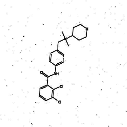 C[N+](C)(Cc1ccc(NC(=O)c2cccc(Cl)c2Cl)cc1)C1CCOCC1